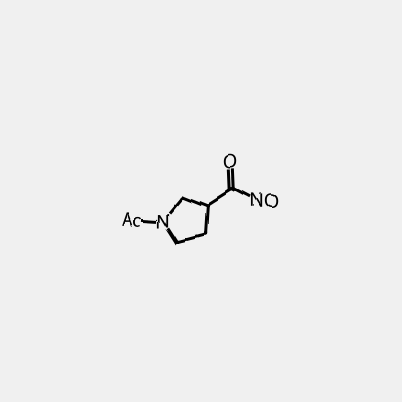 CC(=O)N1CCC(C(=O)N=O)C1